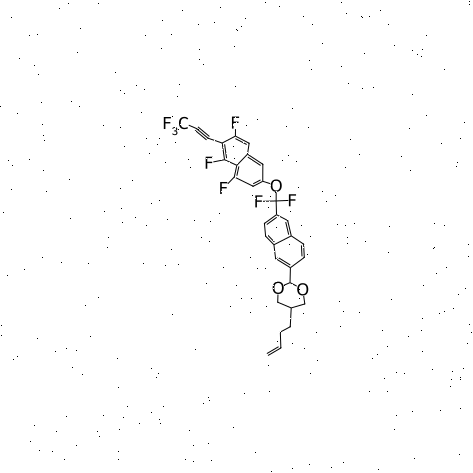 C=CCCC1COC(c2ccc3cc(C(F)(F)Oc4cc(F)c5c(F)c(C#CC(F)(F)F)c(F)cc5c4)ccc3c2)OC1